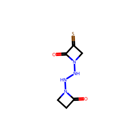 O=C1CCN1NNN1CC(=S)C1=O